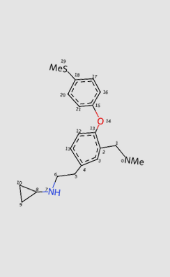 CNCc1cc(CCNC2CC2)ccc1Oc1ccc(SC)cc1